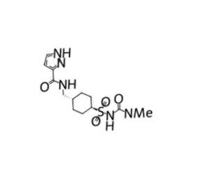 CNC(=O)NS(=O)(=O)[C@H]1CC[C@H](CNC(=O)c2cc[nH]n2)CC1